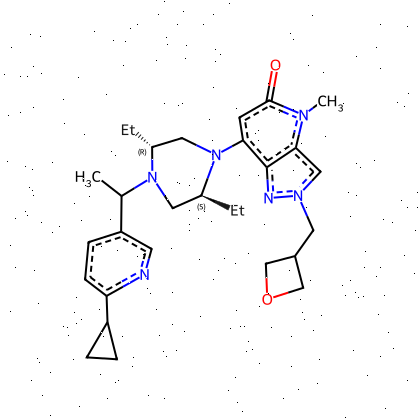 CC[C@H]1CN(C(C)c2ccc(C3CC3)nc2)[C@H](CC)CN1c1cc(=O)n(C)c2cn(CC3COC3)nc12